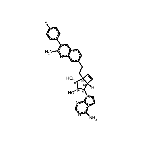 Nc1nc2cc(CC[C@@]34C=C[C@@H]3[C@@H](n3ccc5c(N)ncnc53)[C@H](O)[C@@H]4O)ccc2cc1-c1ccc(F)cc1